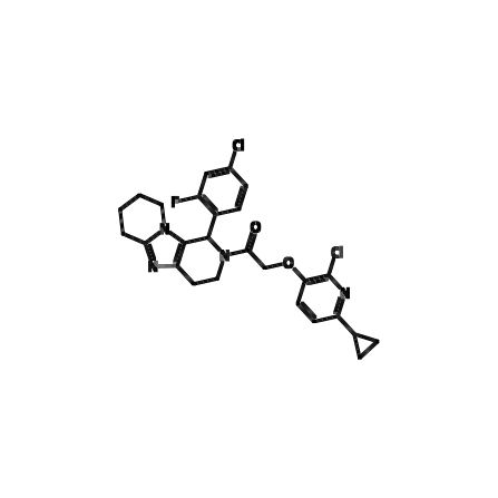 O=C(COc1ccc(C2CC2)nc1Cl)N1CCc2nc3n(c2C1c1ccc(Cl)cc1F)CCCC3